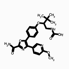 COc1ccc(-c2nc(C(N)=O)oc2-c2ccc(OC(CNC(=O)O)C(C)(C)C)cc2)cn1